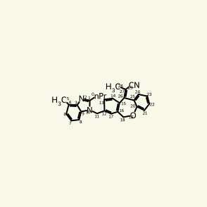 CCCc1nc2c(C)cccc2n1Cc1ccc2c(c1)COc1ccccc1C2=C(C)C#N